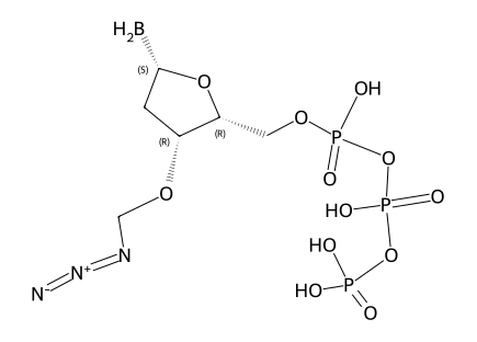 B[C@H]1C[C@@H](OCN=[N+]=[N-])[C@@H](COP(=O)(O)OP(=O)(O)OP(=O)(O)O)O1